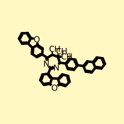 C[C@@H]1C(c2ccc3c(c2)oc2ccccc23)=NC(c2cccc3oc4ccccc4c23)=NC(c2ccc(-c3ccc4ccccc4c3)cc2)C1(C)C